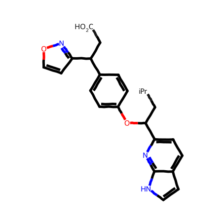 CC(C)CC(Oc1ccc(C(CC(=O)O)c2ccon2)cc1)c1ccc2cc[nH]c2n1